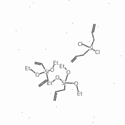 C=CC[Si](Cl)(Cl)CC=C.C=CC[Si](OCC)(OCC)OCC.C=C[Si](C=C)(OCC)OCC